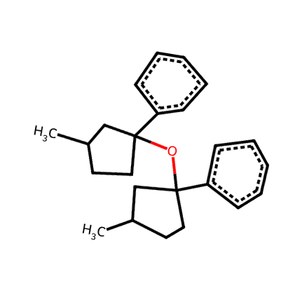 CC1CCC(OC2(c3ccccc3)CCC(C)C2)(c2ccccc2)C1